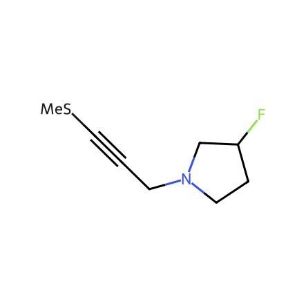 CSC#CCN1CCC(F)C1